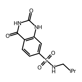 CC(C)CNS(=O)(=O)c1ccc2c(=O)[nH]c(=O)[nH]c2c1